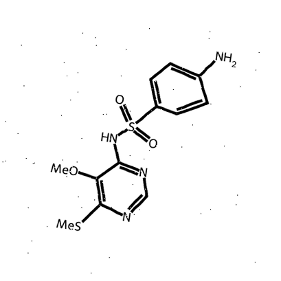 COc1c(NS(=O)(=O)c2ccc(N)cc2)ncnc1SC